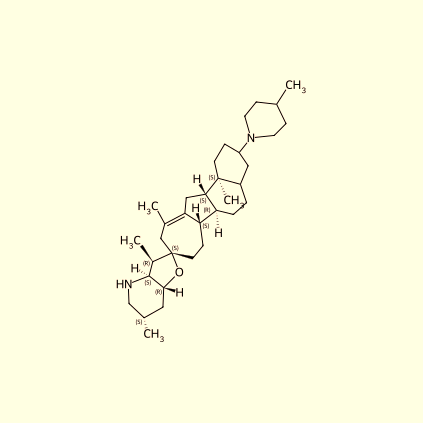 CC1=C2C[C@H]3[C@@H](CCC4CC(N5CCC(C)CC5)CC[C@@]43C)[C@@H]2CC[C@@]2(C1)O[C@@H]1C[C@H](C)CN[C@H]1[C@H]2C